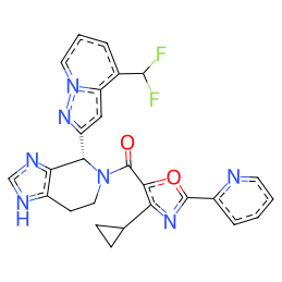 O=C(c1oc(-c2ccccn2)nc1C1CC1)N1CCc2[nH]cnc2[C@@H]1c1cc2c(C(F)F)cccn2n1